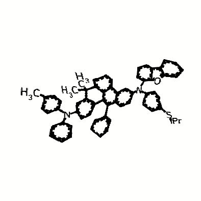 Cc1ccc(N(c2ccccc2)c2ccc3c(c2)C(C)(C)c2cccc4c2c-3c(-c2ccccc2)c2ccc(N(c3ccc(SC(C)C)cc3)c3cccc5c3oc3ccccc35)cc24)cc1